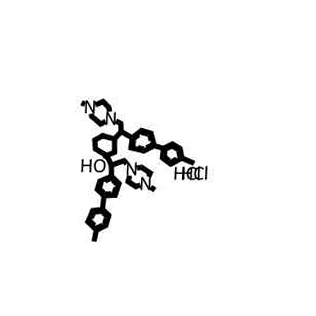 Cc1ccc(-c2ccc(C(CN3CCN(C)CC3)C3CCCC(O)(C(CN4CCN(C)CC4)c4ccc(-c5ccc(C)cc5)cc4)C3)cc2)cc1.Cl.Cl